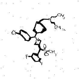 CCCN(CCC)Cc1ccc([C@H](c2ccc(Cl)cc2)N2CC(=C(c3cc(F)cc(F)c3)S(C)(=O)=O)C2)cc1